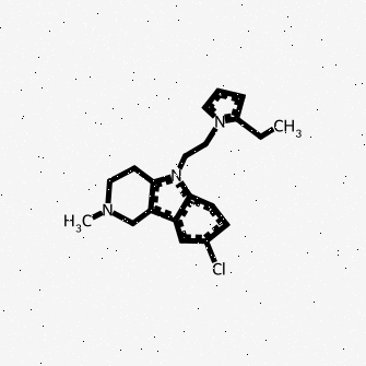 CCc1cccn1CCn1c2c(c3cc(Cl)ccc31)CN(C)CC2